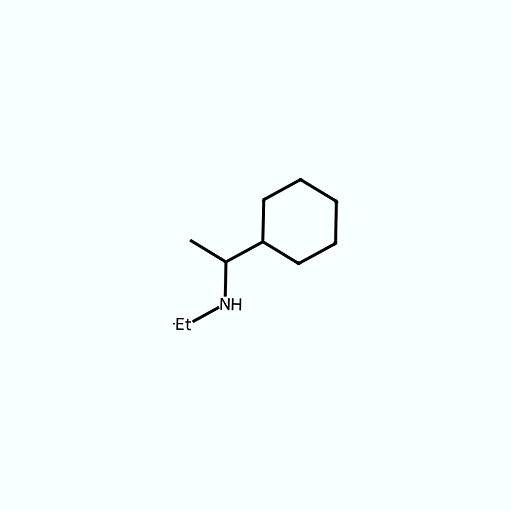 C[CH]NC(C)C1CCCCC1